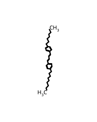 CCCCCCCCCCc1ccc(C=CC=Cc2ccc(CCCCCCCC)cc2)cc1